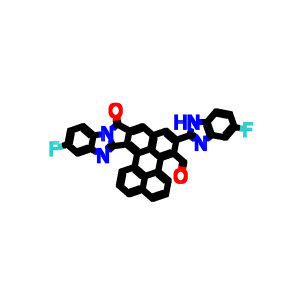 O=Cc1c(-c2nc3cc(F)ccc3[nH]2)cc2cc3c(=O)n4c5ccc(F)cc5nc4c3c3c4cccc5cccc(c1c23)c54